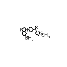 Bc1ccc2nccc(N3CCC(C(=O)c4cccc(SC)c4)CC3)c2c1